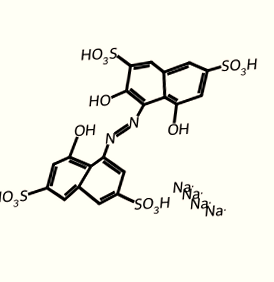 O=S(=O)(O)c1cc(O)c2c(N=Nc3c(O)c(S(=O)(=O)O)cc4cc(S(=O)(=O)O)cc(O)c34)cc(S(=O)(=O)O)cc2c1.[Na].[Na].[Na].[Na]